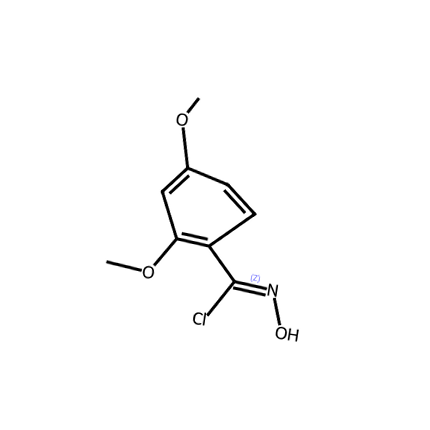 COc1ccc(/C(Cl)=N/O)c(OC)c1